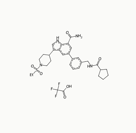 CCS(=O)(=O)N1CCC(c2c[nH]c3c(C(N)=O)cc(-c4cccc(CNC(=O)C5CCCC5)c4)cc23)CC1.O=C(O)C(F)(F)F